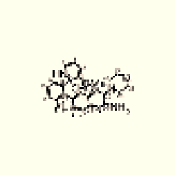 COC1=CC=CNC1(C=O)c1cccc(C)c1-c1ccc2nc(N)c(N3CCOCC3)cc2c1